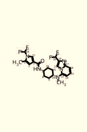 Cc1cc(C(=O)N[C@H]2CC[C@@H](N(C)c3cccc4nc(C(F)F)cn34)CC2)cn1C(F)F